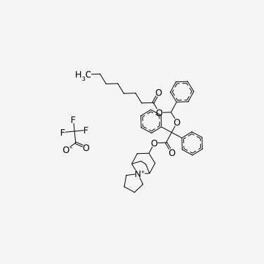 CCCCCCCC(=O)OC(OC(C(=O)OC1CC2CCC(C1)[N+]21CCCC1)(c1ccccc1)c1ccccc1)c1ccccc1.O=C([O-])C(F)(F)F